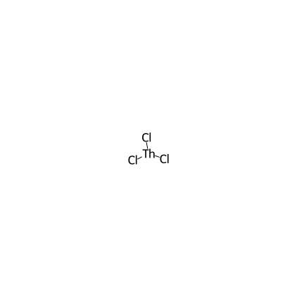 [Cl][Th]([Cl])[Cl]